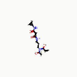 CCC(=O)N(CCCNC(=O)CC(=O)NC1CC1)C(C)=O